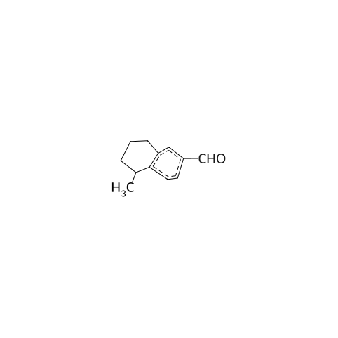 CC1CCCc2cc(C=O)ccc21